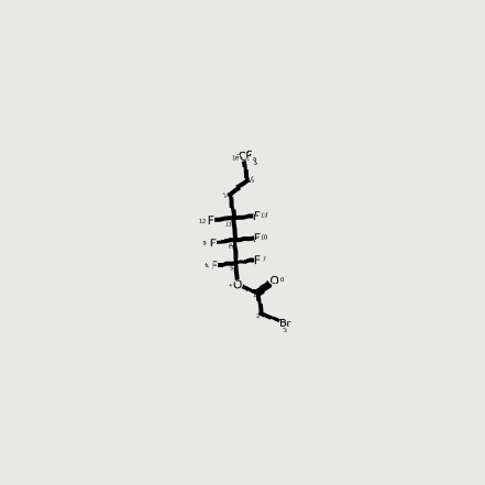 O=C(CBr)OC(F)(F)C(F)(F)C(F)(F)CCC(F)(F)F